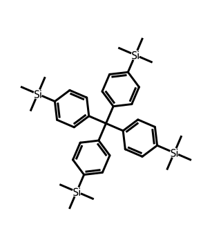 C[Si](C)(C)c1ccc(C(c2ccc([Si](C)(C)C)cc2)(c2ccc([Si](C)(C)C)cc2)c2ccc([Si](C)(C)C)cc2)cc1